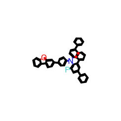 Fc1cc(-c2ccccc2)cc(-c2ccccc2)c1N(c1ccc(-c2ccccc2)cc1)c1ccc(-c2ccc3c(c2)oc2ccccc23)cc1